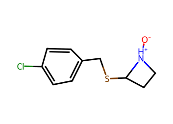 [O-][NH+]1CCC1SCc1ccc(Cl)cc1